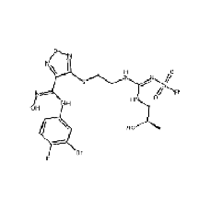 CCS(=O)(=O)/N=C(/NCCSc1nonc1/C(=N/O)Nc1ccc(F)c(Br)c1)NC[C@@H](C)O